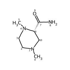 CN1CCN(C)[C@H](C(N)=O)C1